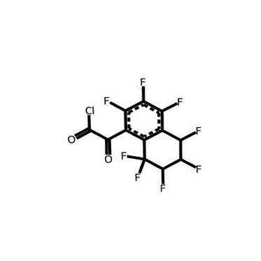 O=C(Cl)C(=O)c1c(F)c(F)c(F)c2c1C(F)(F)C(F)C(F)C2F